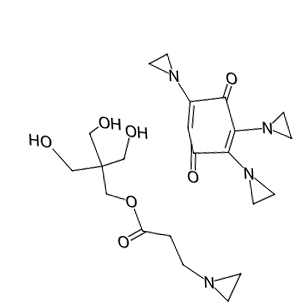 O=C(CCN1CC1)OCC(CO)(CO)CO.O=C1C=C(N2CC2)C(=O)C(N2CC2)=C1N1CC1